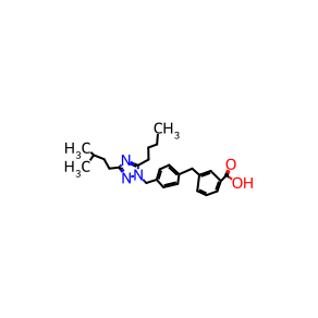 CCCCc1nc(CCC(C)C)nn1Cc1ccc(Cc2cccc(C(=O)O)c2)cc1